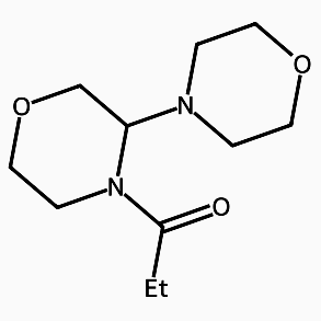 CCC(=O)N1CCOCC1N1CCOCC1